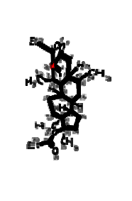 CCC(=O)OC[C@@]12[C@H](CC(=O)C[C@@H]1C)[C@@H](C)C[C@@H]1[C@@H]2CC[C@@]2(C)[C@H]1CC[C@@]2(C)OC(=O)CC